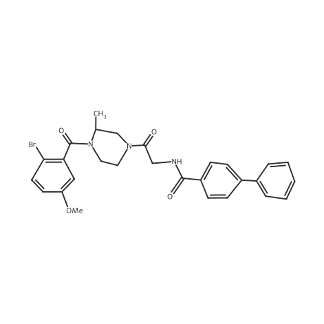 COc1ccc(Br)c(C(=O)N2CCN(C(=O)CNC(=O)c3ccc(-c4ccccc4)cc3)CC2C)c1